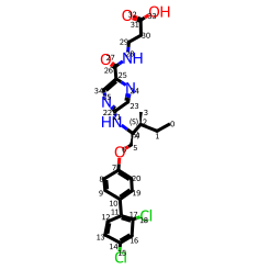 CC[C@H](C)[C@@H](COc1ccc(-c2ccc(Cl)cc2Cl)cc1)Nc1cnc(C(=O)NCCC(=O)O)cn1